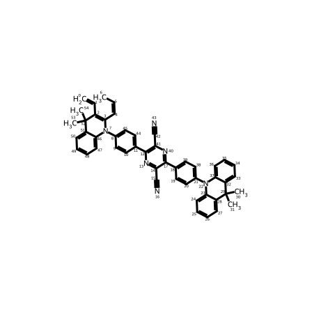 C=CC1=C(/C=C\C)N(c2ccc(-c3nc(C#N)c(-c4ccc(N5c6ccccc6C(C)(C)c6ccccc65)cc4)nc3C#N)cc2)c2ccccc2C1(C)C